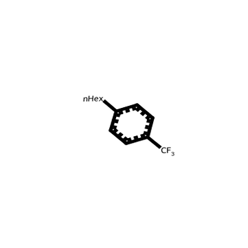 [CH2]CCCCCc1ccc(C(F)(F)F)cc1